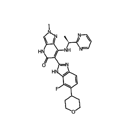 C[C@H](Nc1c(-c2nc3ccc(C4CCOCC4)c(F)c3[nH]2)c(=O)[nH]c2cn(C)nc12)c1ncccn1